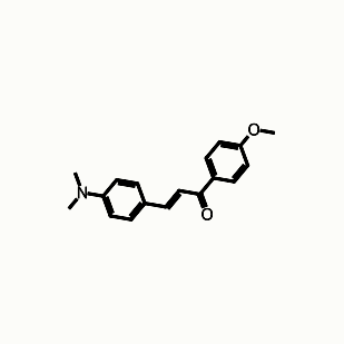 COc1ccc(C(=O)C=Cc2ccc(N(C)C)cc2)cc1